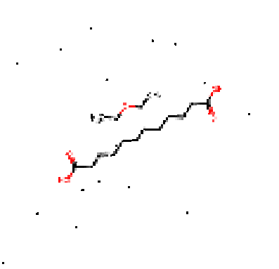 CCOCC.O=C(O)CCCCCCCCCCC(=O)O